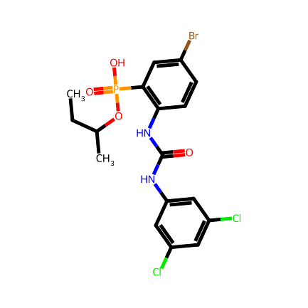 CCC(C)OP(=O)(O)c1cc(Br)ccc1NC(=O)Nc1cc(Cl)cc(Cl)c1